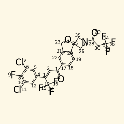 O=C(/C=C(/c1cc(Cl)c(F)c(Cl)c1)C(F)(F)F)c1ccc2c(c1)COC21CN(C(=O)CC(F)(F)F)C1